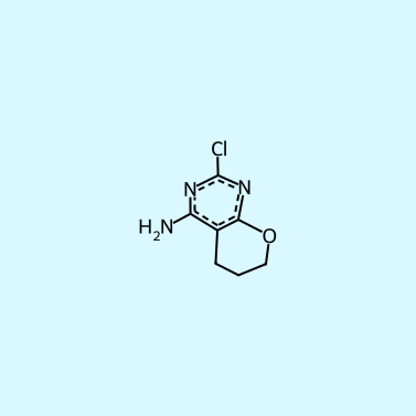 Nc1nc(Cl)nc2c1CCCO2